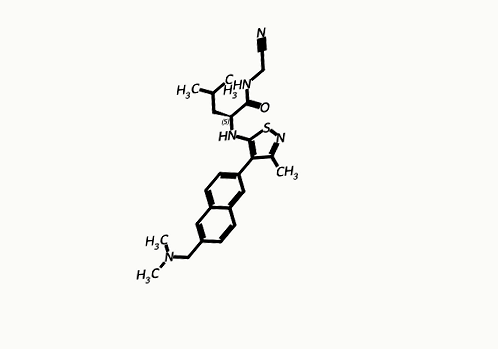 Cc1nsc(N[C@@H](CC(C)C)C(=O)NCC#N)c1-c1ccc2cc(CN(C)C)ccc2c1